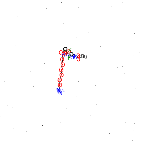 CC(C)(C)OC(=O)NCc1cc(F)c(NS(=O)(=O)C2CCCC=C2C(=O)OCCOCCOCCOCCOCCOCCOCCN=[N+]=[N-])c(F)c1